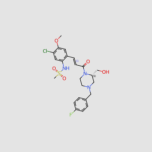 COc1cc(/C=C/C(=O)N2CCN(Cc3ccc(F)cc3)C[C@H]2CO)c(NS(C)(=O)=O)cc1Cl